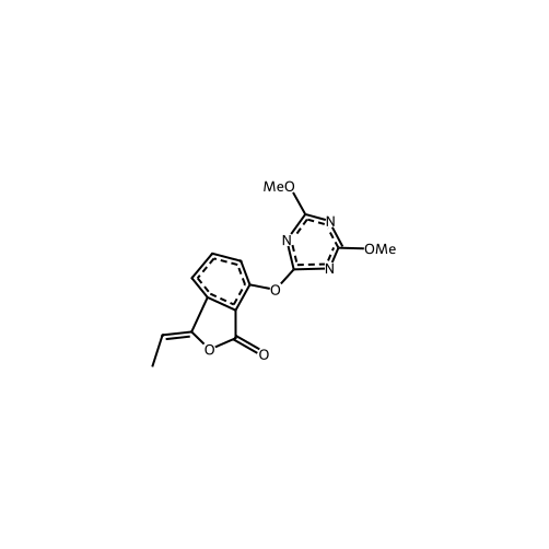 C/C=C1\OC(=O)c2c(Oc3nc(OC)nc(OC)n3)cccc21